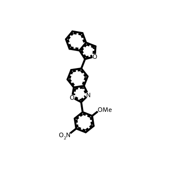 COc1ccc([N+](=O)[O-])cc1-c1nc2cc(-c3occ4ccccc34)ccc2o1